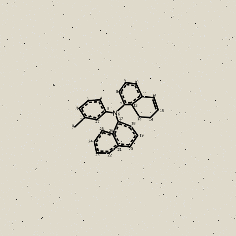 Cc1cccc(N(c2cccc3c2CCC=C3)c2cccc3ccccc23)c1